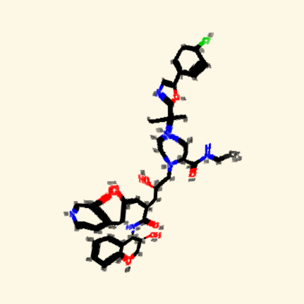 CC(C)(c1ncc(-c2ccc(Cl)cc2)o1)N1CCN(C[C@@H](O)C[C@H](Cc2cc3ccncc3o2)C(=O)N[C@H]2c3ccccc3OC[C@H]2O)[C@H](C(=O)NCC(F)(F)F)C1